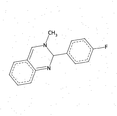 CN1C=c2ccccc2=NC1c1ccc(F)cc1